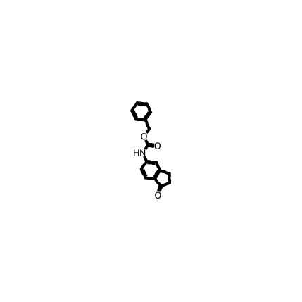 O=C(Nc1ccc2c(c1)CCC2=O)OCc1ccccc1